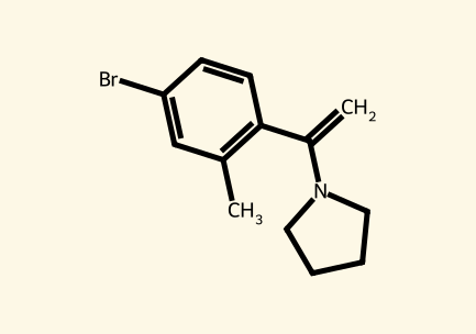 C=C(c1ccc(Br)cc1C)N1CCCC1